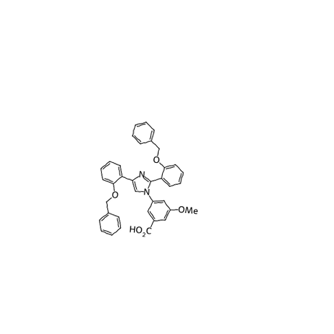 COc1cc(C(=O)O)cc(-n2cc(-c3ccccc3OCc3ccccc3)nc2-c2ccccc2OCc2ccccc2)c1